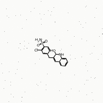 NS(=O)(=O)c1ccc(CC2=Cc3ccccc3NC2O)cc1Cl